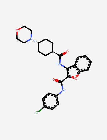 O=C(Nc1ccc(Cl)cc1)c1oc2ccccc2c1NC(=O)[C@H]1CC[C@H](N2CCOCC2)CC1